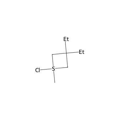 CCC1(CC)CS(C)(Cl)C1